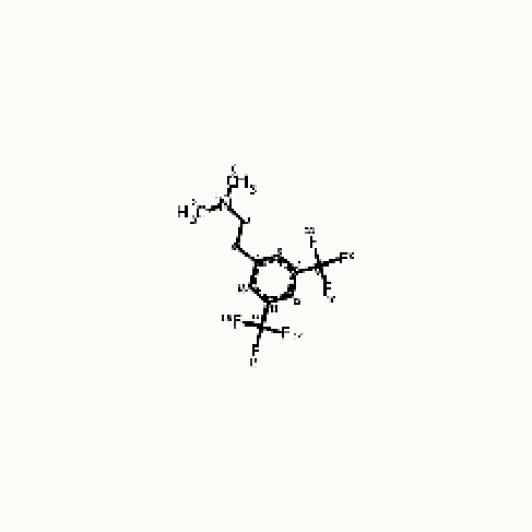 CN(C)CCc1cc(C(F)(F)F)cc(C(F)(F)F)c1